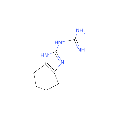 N=C(N)Nc1nc2c([nH]1)CCCC2